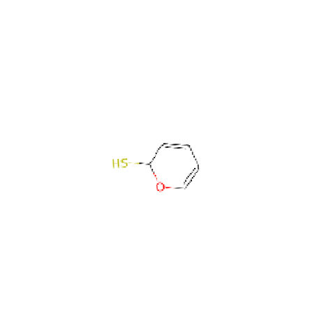 SC1C=CC=CO1